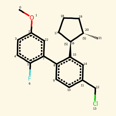 COc1ccc(F)c(-c2ccc(CCl)cc2[C@H]2CCC[C@@H]2C)c1